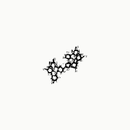 Cc1ccc2c(c1)c1cc(C)ccc1n2-c1ccc(-c2cccc(-c3cccc(-c4nc(C)nc(C)n4)c3-n3c4ccc(C)cc4c4cc(C)ccc43)c2)cc1-c1nc(C)nc(C)n1